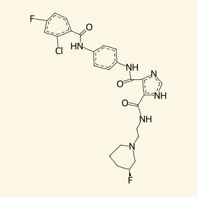 O=C(Nc1ccc(NC(=O)c2nc[nH]c2C(=O)NCCN2CCC[C@H](F)C2)cc1)c1ccc(F)cc1Cl